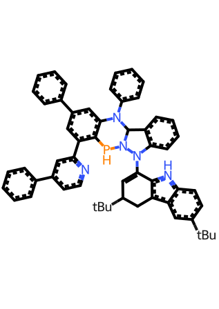 CC(C)(C)c1ccc2[nH]c3c(c2c1)CC(C(C)(C)C)C=C3N1c2ccccc2C2N(c3ccccc3)c3cc(-c4ccccc4)cc(-c4cc(-c5ccccc5)ccn4)c3PN21